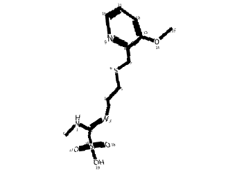 CN/C(=N\CCSCc1ncccc1OC)S(=O)(=O)O